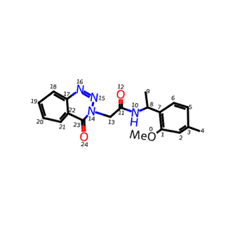 COc1cc(C)ccc1C(C)NC(=O)Cn1nnc2ccccc2c1=O